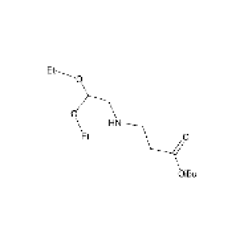 CCOC(CNCCC(=O)OCC(C)C)OCC